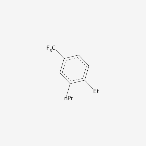 CCCc1cc(C(F)(F)F)ccc1CC